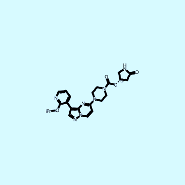 CC(C)Oc1ncccc1-c1cnn2ccc(N3CCN(C(=O)O[C@@H]4CNC(=O)C4)CC3)nc12